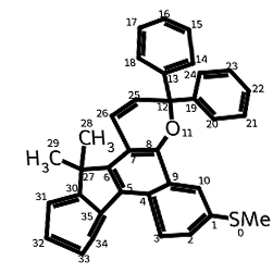 CSc1ccc2c3c(c4c(c2c1)OC(c1ccccc1)(c1ccccc1)C=C4)C(C)(C)c1ccccc1-3